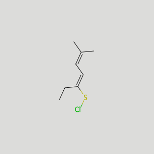 CC/C(=C\C=C(C)C)SCl